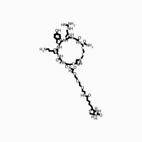 C[C@@H]1NC(=O)[C@@H](NC(=O)COCCOCCOCCNC(=O)CCCCC2SC[C@H]3NC(=O)N[C@@H]23)Cc2cn(nn2)CCCC[C@@H](C(N)=O)NC(=O)CNC(=O)[C@H](CCCNC(=N)N)NC(=O)[C@H](Cc2ccc(O)cc2)NC(=O)[C@H](CCCCN)NC1=O